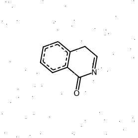 O=C1N=CCc2ccccc21